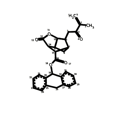 C=C(C)C(=O)CC1C2CC3C1OC(=O)C3C2C(=O)OC1c2ccccc2Cc2ccccc21